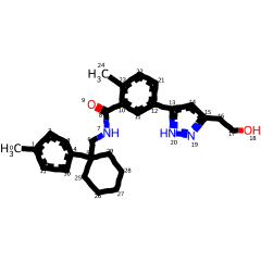 Cc1ccc(C2(CNC(=O)c3cc(-c4cc(CCO)n[nH]4)ccc3C)CCCCC2)cc1